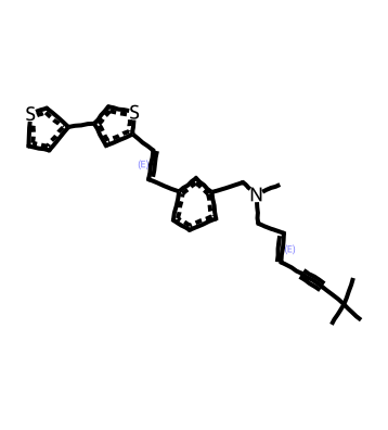 CN(C/C=C/C#CC(C)(C)C)Cc1cccc(/C=C/c2cc(-c3ccsc3)cs2)c1